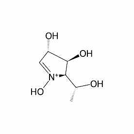 C[C@@H](O)[C@@H]1[C@H](O)[C@@H](O)C=[N+]1O